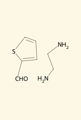 NCCN.O=Cc1cccs1